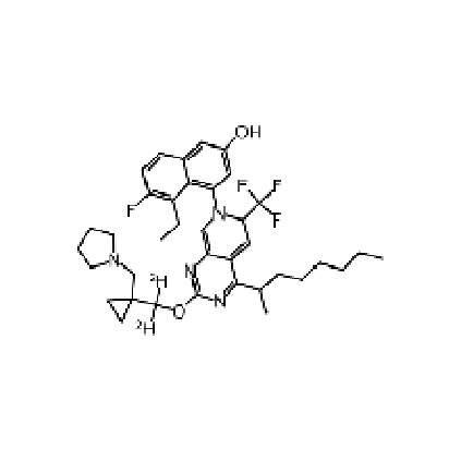 [2H]C([2H])(Oc1nc(C(C)CCCCCC)c2c(n1)=CN(c1cc(O)cc3ccc(F)c(CC)c13)C(C(F)(F)F)C=2)C1(CN2CCCC2)CC1